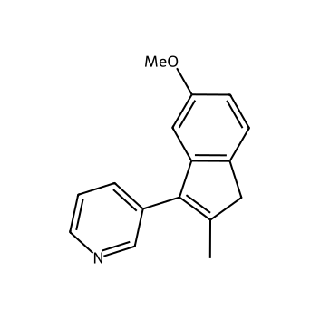 COc1ccc2c(c1)C(c1cccnc1)=C(C)C2